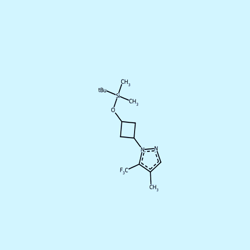 Cc1cnn(C2CC(O[Si](C)(C)C(C)(C)C)C2)c1C(F)(F)F